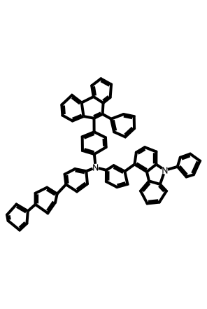 c1ccc(-c2ccc(-c3ccc(N(c4ccc(-c5c(-c6ccccc6)c6ccccc6c6ccccc56)cc4)c4cccc(-c5cccc6c5c5ccccc5n6-c5ccccc5)c4)cc3)cc2)cc1